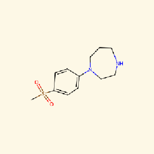 CS(=O)(=O)c1ccc(N2CCCNCC2)cc1